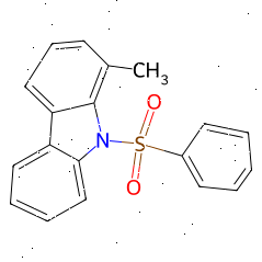 Cc1cccc2c3ccccc3n(S(=O)(=O)c3ccccc3)c12